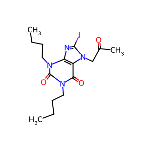 CCCCn1c(=O)c2c(nc(I)n2CC(C)=O)n(CCCC)c1=O